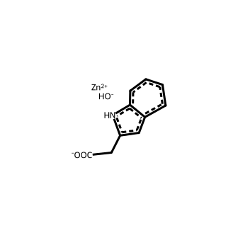 O=C([O-])Cc1cc2ccccc2[nH]1.[OH-].[Zn+2]